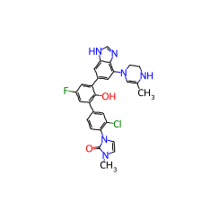 CC1=CN(c2cc(-c3cc(F)cc(-c4ccc(-n5ccn(C)c5=O)c(Cl)c4)c3O)cc3[nH]cnc23)CCN1